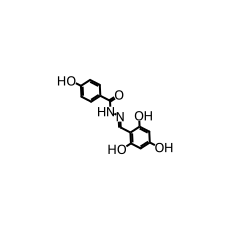 O=C(N/N=C/c1c(O)cc(O)cc1O)c1ccc(O)cc1